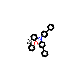 C[Si]1(C)c2ccccc2Oc2c(N(c3ccc(-c4ccccc4)cc3)c3ccc(-c4ccccc4)cc3)cccc21